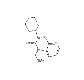 COCN(C(=O)NC1CCCCC1)c1ccccc1Br